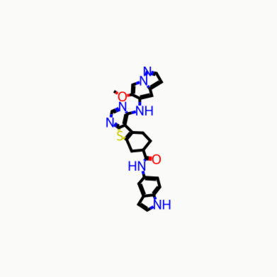 COc1cn2nccc2cc1Nc1ncnc2sc3c(c12)CCC(C(=O)Nc1ccc2[nH]ccc2c1)C3